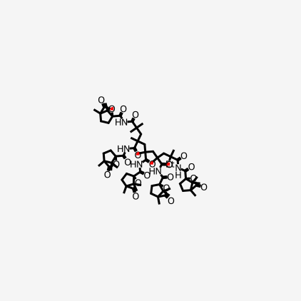 CCC(C)(CC(C)(CC(C)(CC(C)(CC(C)(C)C(=O)NC(=O)C12CCC(C)(C(=O)O1)C2(C)C)C(=O)NC(=O)C12CCC(C)(C(=O)O1)C2(C)C)C(=O)NC(=O)C12CCC(C)(C(=O)O1)C2(C)C)C(=O)NC(=O)C12CCC(C)(C(=O)O1)C2(C)C)C(=O)NC(=O)C12CCC(C)(C(=O)O1)C2(C)C